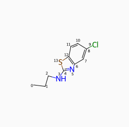 CCCNc1nc2cc(Cl)ccc2s1